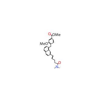 COC(=O)c1ccc(Cc2cccc3ccc(/C=C/CCC(=O)N(C)C)cc23)c(OC)c1